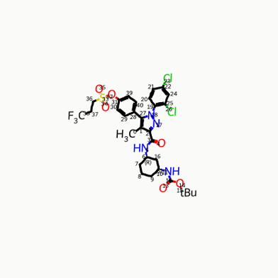 Cc1c(C(=O)N[C@@H]2CCC[C@H](NC(=O)OC(C)(C)C)C2)nn(-c2ccc(Cl)cc2Cl)c1-c1ccc(OS(=O)(=O)CCC(F)(F)F)cc1